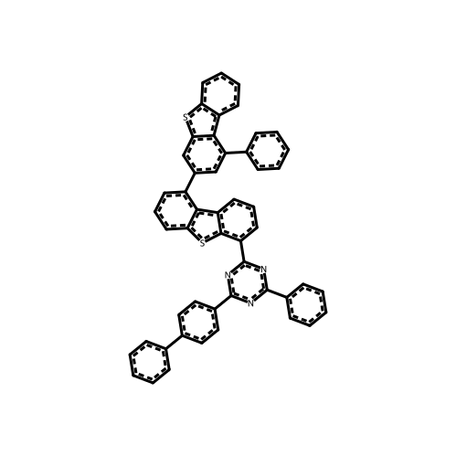 c1ccc(-c2ccc(-c3nc(-c4ccccc4)nc(-c4cccc5c4sc4cccc(-c6cc(-c7ccccc7)c7c(c6)sc6ccccc67)c45)n3)cc2)cc1